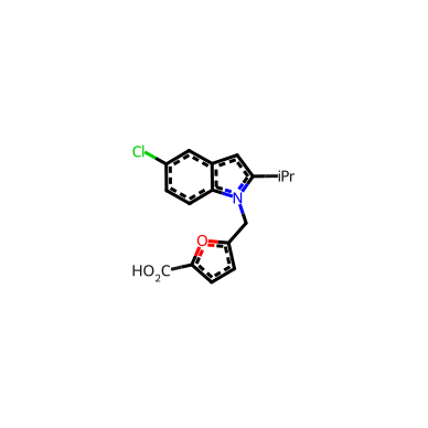 CC(C)c1cc2cc(Cl)ccc2n1Cc1ccc(C(=O)O)o1